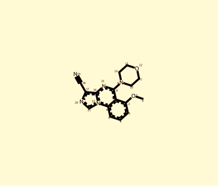 COc1cccc2c1c(N1CCOCC1)nc1c(C#N)ncn12